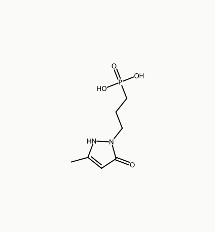 Cc1cc(=O)n(CCCP(=O)(O)O)[nH]1